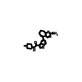 CN1CCC(NC(=O)c2cnn3ccc(C4=CCCCc5nc(N)ncc54)cc23)CC1